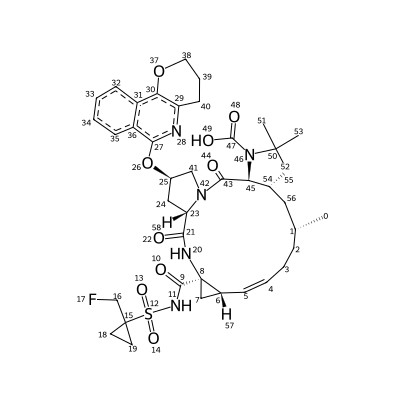 C[C@@H]1CC/C=C\[C@@H]2C[C@@]2(C(=O)NS(=O)(=O)C2(CF)CC2)NC(=O)[C@@H]2C[C@@H](Oc3nc4c(c5ccccc35)OCCC4)CN2C(=O)[C@@H](N(C(=O)O)C(C)(C)C)[C@H](C)C1